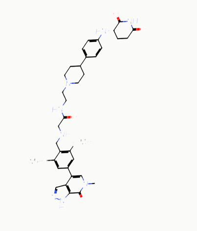 COc1cc(-c2cn(C)c(=O)c3[nH]ncc23)cc(OC)c1CNCC(=O)NCCN1CCC(c2ccc(N[C@H]3CCC(=O)NC3=O)cc2)CC1